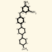 CC1CCC(C2CCC(c3ccc(Cc4cc(N)cc(N)c4)cc3)CC2)CC1